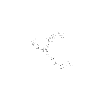 CC(NC(=O)CCCN1C(=O)C=CC1=O)C(=O)NCC(=O)NCC(=O)NCCCCC(NC(=O)CNC(=O)CNC(=O)C(C)NC(=O)CCCN1C(=O)C=CC1=O)C(=O)NCCC(=O)NCCN1C(=O)C=CC1=O